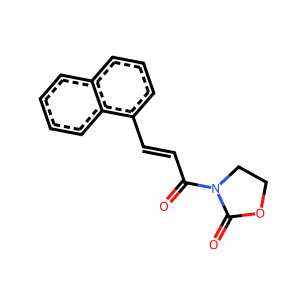 O=C(/C=C/c1cccc2ccccc12)N1CCOC1=O